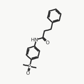 CP(C)(=O)c1ccc(NC(=O)CCc2ccccc2)cc1